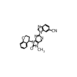 Cn1c(=O)n(C2CCOc3ccccc32)c2nc(-n3cnc4ccc(C#N)cc43)ncc21